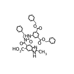 Cc1nc2cc(C(=O)N(CCc3ccccc3)C(=O)Nc3cc(C(=O)OCc4ccccc4)cc(C(=O)OCc4ccccc4)c3)c(C(=O)O)cc2[nH]1